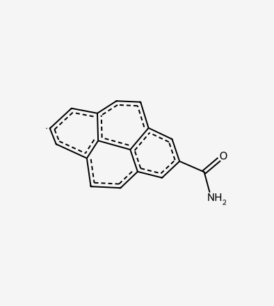 NC(=O)c1cc2ccc3c[c]cc4ccc(c1)c2c34